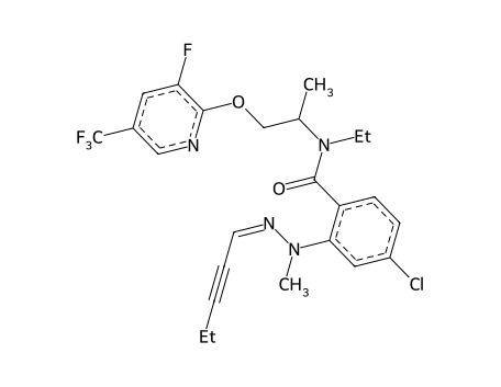 CCC#C/C=N\N(C)c1cc(Cl)ccc1C(=O)N(CC)C(C)COc1ncc(C(F)(F)F)cc1F